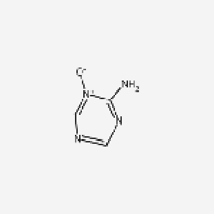 Nc1ncnc[n+]1[O-]